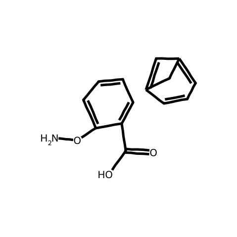 NOc1ccccc1C(=O)O.c1cc2cc(c1)C2